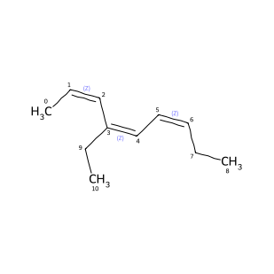 C\C=C/C(=C\C=C/CC)CC